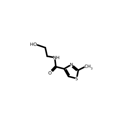 Cc1nc(C(=O)NCCO)cs1